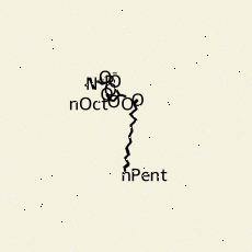 CCCCCC=CCC=CCCCCCCCC(=O)OCC(COP(=O)([O-])CC[N+](C)(C)C)OC(=O)CCCCCCCC